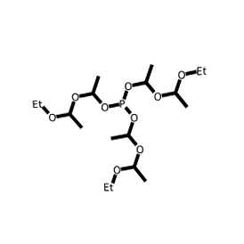 CCOC(C)OC(C)OP(OC(C)OC(C)OCC)OC(C)OC(C)OCC